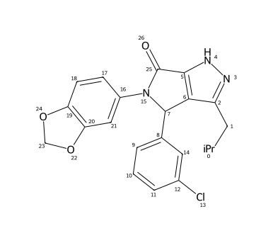 CC(C)Cc1n[nH]c2c1C(c1cccc(Cl)c1)N(c1ccc3c(c1)OCO3)C2=O